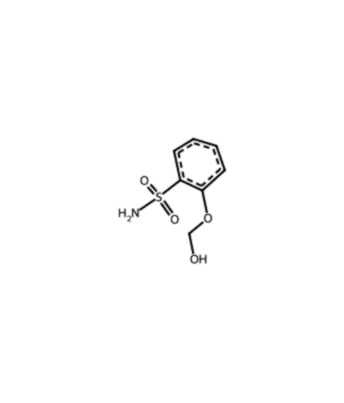 NS(=O)(=O)c1ccccc1OCO